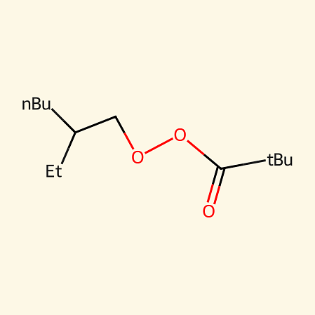 CCCCC(CC)COOC(=O)C(C)(C)C